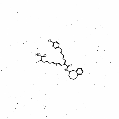 CC(CCC/C=N/C=C/C(=C\C=C\N=C\c1ccc(Cl)cc1)C(=O)NC1CCCCc2ccccc2C1)C(=O)O